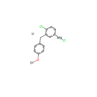 CCOc1ccc(Cc2c[c]([Mg][Cl])ccc2Cl)cc1.[Li]